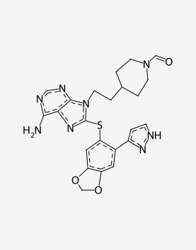 Nc1ncnc2c1nc(Sc1cc3c(cc1-c1cc[nH]n1)OCO3)n2CCC1CCN(C=O)CC1